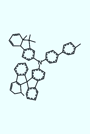 Cc1ccc(-c2ccc(N(c3ccc4c(c3)C3(C5=C(C=CCC5C)c5ccccc53)c3ccccc3-4)c3ccc4c(c3)C(C)(C)C3(C)C=CC=CC43)cc2)cc1